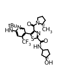 C[C@H]1CCCN1C(=O)c1nc(C(=O)NC2CC[C@@H](O)C2)sc1-c1cnc(NC(C)(C)C)cc1C(F)(F)F